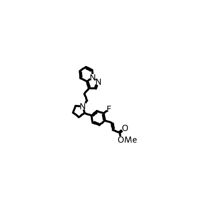 COC(=O)C=Cc1ccc(C2CCCN2CCc2cnn3ccccc23)cc1F